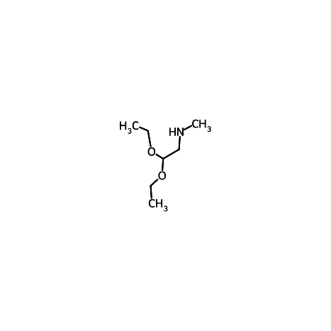 CCOC(CNC)OCC